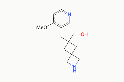 COc1ccncc1CC1(CO)CC2(CNC2)C1